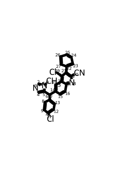 Cn1cncc1C(c1ccc(Cl)cc1)c1ccc2nc(C#N)c(-c3ccccc3)c(Cl)c2c1